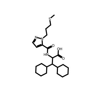 CSCCCn1nccc1C(=O)NC(C(=O)O)C(C1CCCCC1)C1CCCCC1